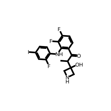 CC(C(=O)c1ccc(F)c(F)c1Nc1ccc(I)cc1F)C1(O)CNC1